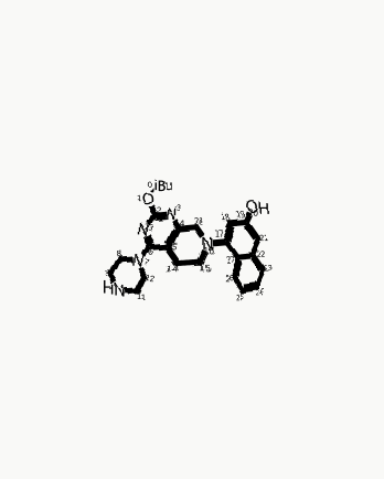 CC[C@@H](C)Oc1nc2c(c(N3CCNCC3)n1)CCN(c1cc(O)cc3ccccc13)C2